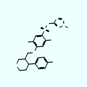 Cn1nnc(NS(=O)(=O)c2cc(F)c(OCC3CNCCC3c3ccc(Cl)cc3)cc2F)n1